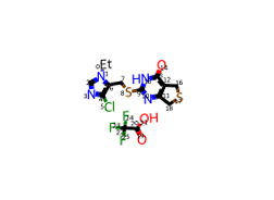 CCn1cnc(Cl)c1CSc1nc2c(c(=O)[nH]1)CSC2.O=C(O)C(F)(F)F